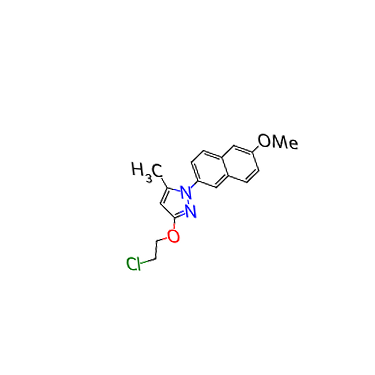 COc1ccc2cc(-n3nc(OCCCl)cc3C)ccc2c1